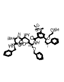 CCC(C)[C@H](NC(=O)[C@@H](C[C@H](O)[C@H](COCc1ccccc1)NC(=O)c1cc(C(C[C@@H](C)c2ccccc2)OCCOC)cc(N(C)S(C)(=O)=O)c1)C(C)C)C(=O)NCc1ccccc1